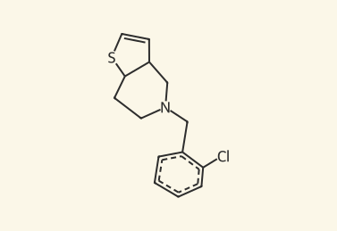 Clc1ccccc1CN1CCC2SC=CC2C1